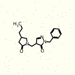 CCCC1CC(=O)N(CC2C=NN(Cc3ccccc3)C2=O)C1